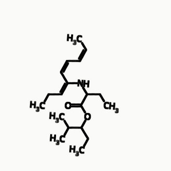 C\C=C/C=C\C(=C/CC)NC(CC)C(=O)OC(CC)C(C)C